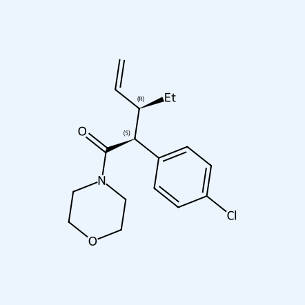 C=C[C@@H](CC)[C@H](C(=O)N1CCOCC1)c1ccc(Cl)cc1